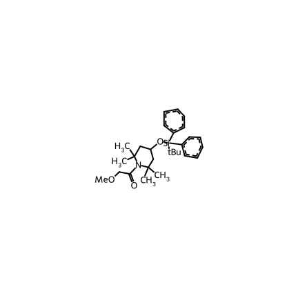 COCC(=O)N1C(C)(C)CC(O[Si](c2ccccc2)(c2ccccc2)C(C)(C)C)CC1(C)C